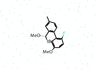 COc1ccc(F)c(-c2ccc(C)cc2[C@@H](OC)C(C)(C)C)c1